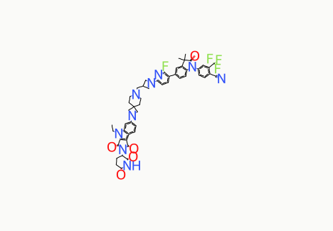 CCn1c2c(c3ccc(N4CC5(CCN(CC6CN(c7ccc(-c8ccc9c(c8)C(C)(C)C(=O)N9c8ccc(C#N)c(C(F)(F)F)c8)c(F)n7)C6)CC5)C4)cc31)C(=O)N(C1CCC(=O)NC1=O)C2=O